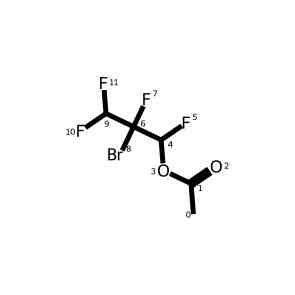 CC(=O)OC(F)C(F)(Br)C(F)F